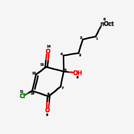 CCCCCCCCCCCCC1(O)CC(=O)C(Cl)=CC1=O